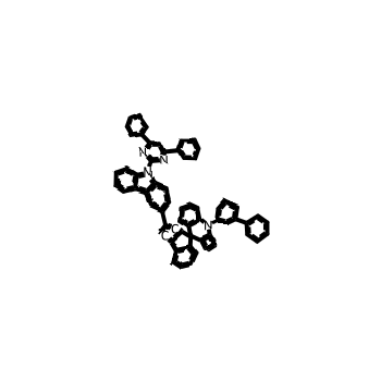 c1ccc(-c2cccc(N3c4ccccc4C4(c5ccccc5-c5ccc(-c6ccc7c(c6)c6ccccc6n7-c6nc(-c7ccccc7)cc(-c7ccccc7)n6)cc54)c4ccccc43)c2)cc1